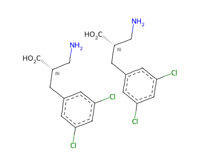 NC[C@H](Cc1cc(Cl)cc(Cl)c1)C(=O)O.NC[C@H](Cc1cc(Cl)cc(Cl)c1)C(=O)O